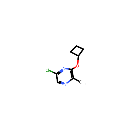 Cc1ncc(Cl)nc1OC1CCC1